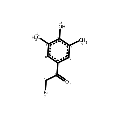 Cc1cc(C(=O)CBr)cc(C)c1O